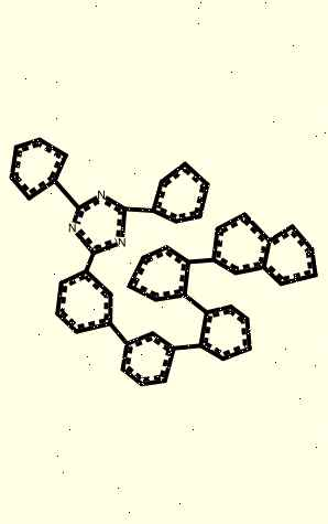 c1ccc(-c2nc(-c3ccccc3)nc(-c3cccc(-c4cccc(-c5ccccc5-c5ccccc5-c5ccc6ccccc6c5)c4)c3)n2)cc1